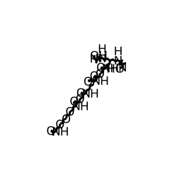 CC(=O)NCCOCCOCCOCCNC(=O)COCC(=O)NCCCC[C@@H](C=O)NC(=O)COCC(=O)NCCC(CCNC(C)(C)/C(C)=N\O)CCNC(C)(C)/C(C)=N\O